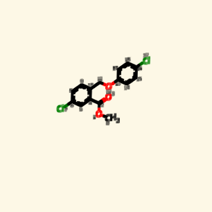 COC(=O)c1cc(Cl)ccc1COc1ccc(Cl)cc1